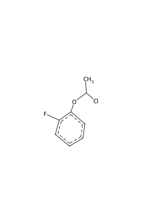 CC(Cl)Oc1ccccc1F